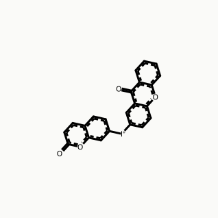 O=c1ccc2ccc([I+]c3ccc4oc5ccccc5c(=O)c4c3)cc2o1